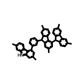 Cc1ccc2c(c1)-c1cc(C)ccc1C2c1cc(C)cc2c1-c1ccc(C)cc1C2c1cccc(-c2cc(C)cc3[nH]c4cc(C)ccc4c23)c1